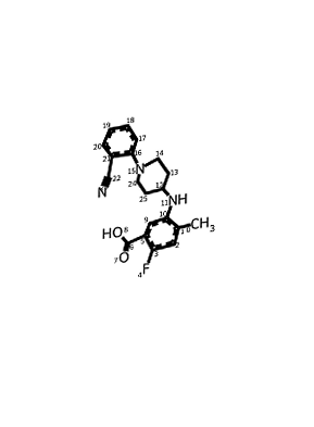 Cc1cc(F)c(C(=O)O)cc1NC1CCN(c2ccccc2C#N)CC1